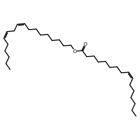 CCCCC/C=C\C/C=C\CCCCCCCCOC(=O)CCCCCCC/C=C\CCCCCC